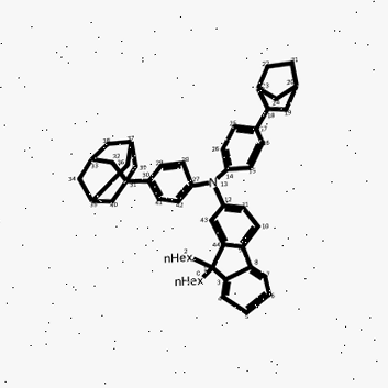 CCCCCCC1(CCCCCC)c2ccccc2-c2ccc(N(c3ccc(C4CC5CCC4C5)cc3)c3ccc(C45CC6CC(CC(C6)C4)C5)cc3)cc21